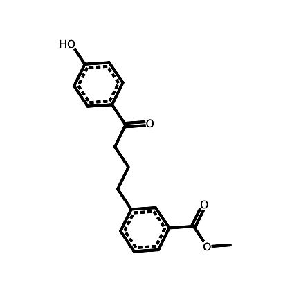 COC(=O)c1cccc(CCCC(=O)c2ccc(O)cc2)c1